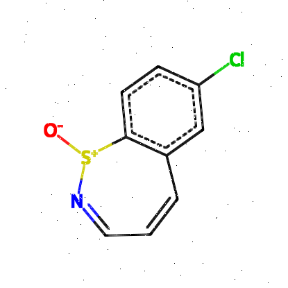 [O-][S+]1N=CC=Cc2cc(Cl)ccc21